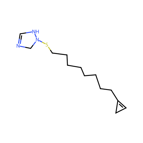 C1=NCN(SCCCCCCCCC2=CC2)N1